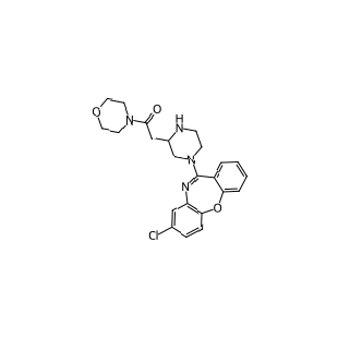 O=C(CC1CN(C2=Nc3cc(Cl)ccc3Oc3ccccc32)CCN1)N1CCOCC1